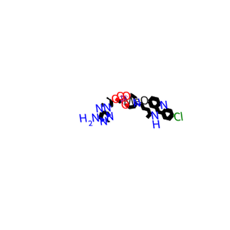 COc1ccc2nc3cc(Cl)ccc3c(NC(C)CCCN3CCOP(=O)(CO[C@H](C)Cn4cnc5c(N)ncnc54)OCC3)c2c1